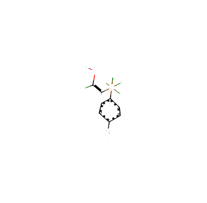 CCO/C(Cl)=C\S(F)(F)(F)(F)c1ccc([N+](=O)[O-])cc1